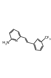 Nc1cccc(/C=C/c2cccc(C(F)(F)F)c2)n1